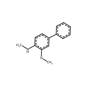 CNc1ccc(-c2ccccc2)cc1OC